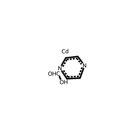 O=CO.[Cd].c1cnccn1